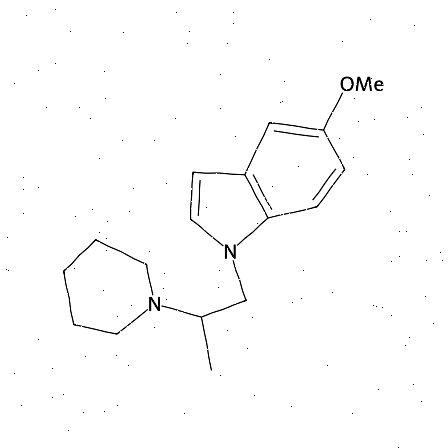 COc1ccc2c(ccn2CC(C)N2CCCCC2)c1